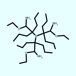 CCCC(CCC)(C(N)OCC)N(C(CCC)(CCC)C(N)OCC)C(CCC)(CCC)C(N)OCC